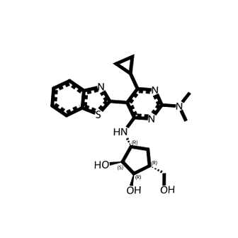 CN(C)c1nc(N[C@@H]2C[C@H](CO)[C@@H](O)[C@H]2O)c(-c2nc3ccccc3s2)c(C2CC2)n1